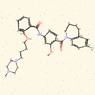 COc1cc(NC(=O)c2ccccc2OCCCCN2CCN(C)CC2)ccc1C(=O)N1CCCCc2cc(Cl)ccc21